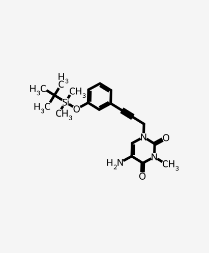 Cn1c(=O)c(N)cn(CC#Cc2cccc(O[Si](C)(C)C(C)(C)C)c2)c1=O